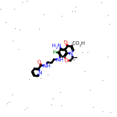 C[C@H]1COc2c(NCCCNC(=O)c3ccccn3)c(F)c(N)c3c(=O)c(C(=O)O)cn1c23